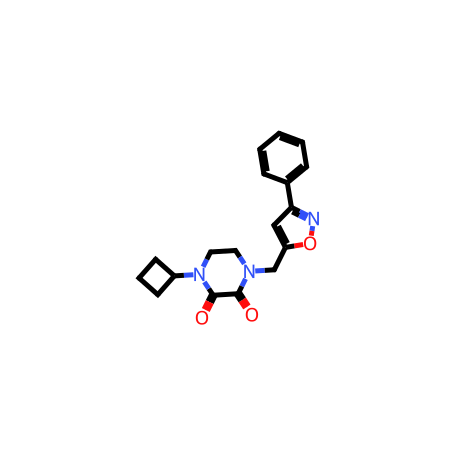 O=C1C(=O)N(C2CCC2)CCN1Cc1cc(-c2ccccc2)no1